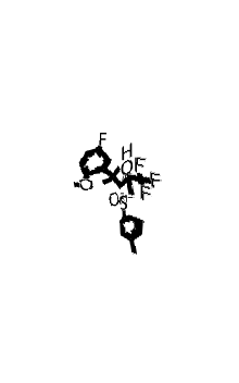 COc1ccc(F)cc1C(C)(C)C[C@](O)(C[S@@+]([O-])c1ccc(C)cc1)C(F)(F)F